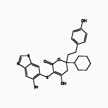 CC(C)c1cc2ncsc2cc1SC1=C(O)CC(CCc2ccc(O)cc2)(C2CCCCC2)OC1=O